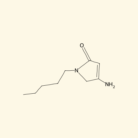 CCCCCN1CC(N)=CC1=O